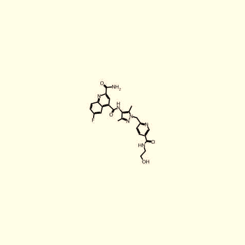 Cc1nn(Cc2ccc(C(=O)NCCO)cn2)c(C)c1NC(=O)c1cc(C(N)=O)nc2ccc(F)cc12